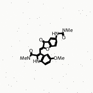 CNC(=O)Nc1ccc2c(c1)C(=O)/C(=C/c1c(C(=O)NC)[nH]c3ccc(OC)cc13)O2